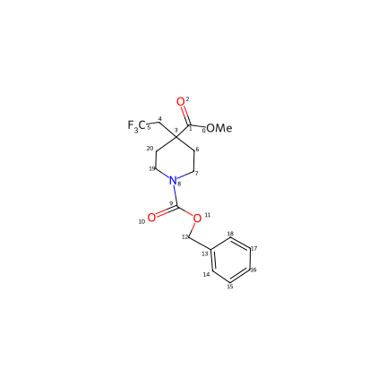 COC(=O)C1(CC(F)(F)F)CCN(C(=O)OCc2ccccc2)CC1